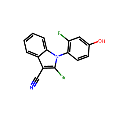 N#Cc1c(Br)n(-c2ccc(O)cc2F)c2ccccc12